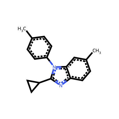 Cc1ccc(-n2c(C3CC3)nc3ccc(C)cc32)cc1